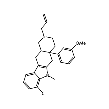 C=CCN1CCC2(c3cccc(OC)c3)Cc3c(c4cccc(Cl)c4n3C)CC2C1